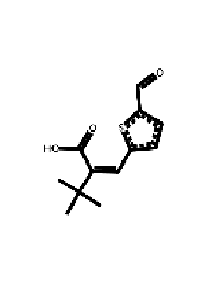 CC(C)(C)C(=Cc1ccc(C=O)s1)C(=O)O